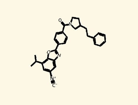 [C-]#[N+]c1cc(C(C)C)c2oc(-c3ccc(C(=O)N4CCC(CCc5ccccc5)C4)cc3)nc2c1